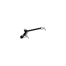 CCCCCCCCCCCCCCCCOc1cocc1C(=O)CC(=O)OC(C)N1CCOCC1